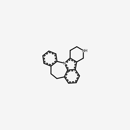 c1ccc2c(c1)CCc1cccc3c4c(n-2c13)CCNC4